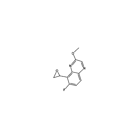 COc1cnc2ccc(F)c(C3CO3)c2n1